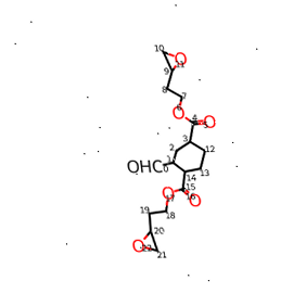 O=CC1CC(C(=O)OCCC2CO2)CCC1C(=O)OCCC1CO1